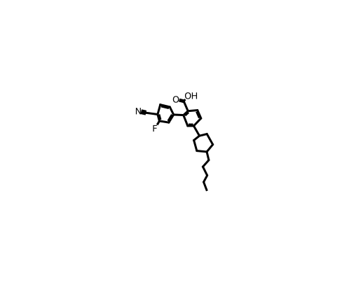 CCCCCC1CCC(c2ccc(C(=O)O)c(-c3ccc(C#N)c(F)c3)c2)CC1